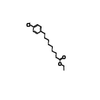 CCOC(=O)CCCCCCCCc1ccc(Cl)cc1